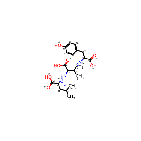 CC(C)C(N)C(=O)O.CC(C)CC(N)C(=O)O.NC(Cc1ccc(O)cc1)C(=O)O